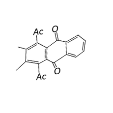 CC(=O)c1c(C)c(C)c(C(C)=O)c2c1C(=O)c1ccccc1C2=O